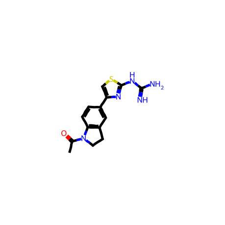 CC(=O)N1CCc2cc(-c3csc(NC(=N)N)n3)ccc21